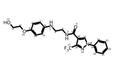 O=C(NCCNc1ccc(OCCO)cc1)c1cn(-c2ccccc2)nc1C(F)(F)F